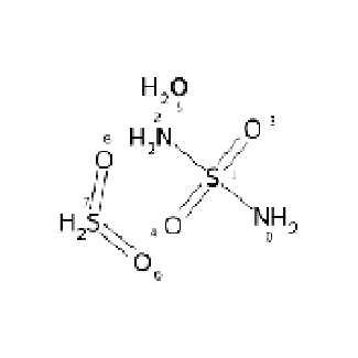 NS(N)(=O)=O.O.O=[SH2]=O